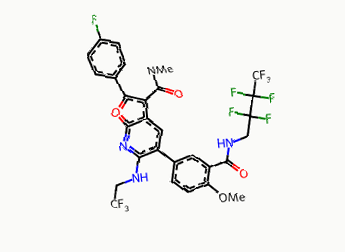 CNC(=O)c1c(-c2ccc(F)cc2)oc2nc(NCC(F)(F)F)c(-c3ccc(OC)c(C(=O)NCC(F)(F)C(F)(F)C(F)(F)F)c3)cc12